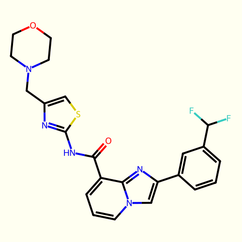 O=C(Nc1nc(CN2CCOCC2)cs1)c1cccn2cc(-c3cccc(C(F)F)c3)nc12